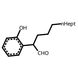 CCCCCCCCCCC(C=O)c1ccccc1O